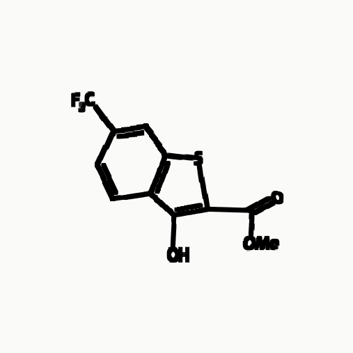 COC(=O)c1sc2cc(C(F)(F)F)ccc2c1O